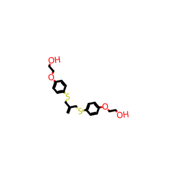 C=C(CSc1ccc(OCCO)cc1)CSc1ccc(OCCO)cc1